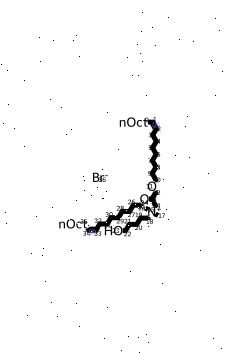 CCCCCCCC/C=C\CCCCCCCCOCC(C[N+](C)(C)CCCCCO)OCCCCCCCC/C=C\CCCCCCCC.[Br-]